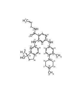 C=CCNC(=O)c1cnc(Nc2ccc(N3CCN(C)CC3)c(C)c2)nc1Nc1ccc2c(n1)[C@@](C)(O)CC2